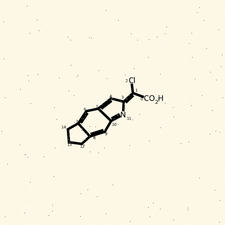 O=C(O)C(Cl)=C1[C]=c2cc3c(cc2=N1)CCC3